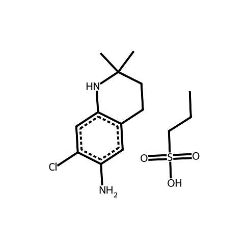 CC1(C)CCc2cc(N)c(Cl)cc2N1.CCCS(=O)(=O)O